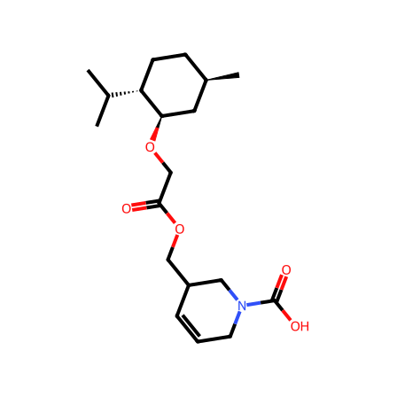 CC(C)[C@@H]1CC[C@@H](C)C[C@H]1OCC(=O)OCC1C=CCN(C(=O)O)C1